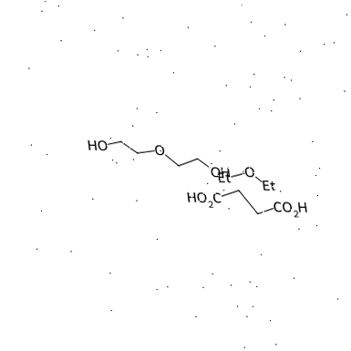 CCOCC.O=C(O)CCC(=O)O.OCCOCCO